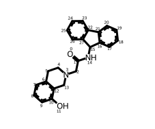 O=C(CN1CCc2cccc(O)c2C1)NC1c2ccccc2-c2ccccc21